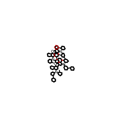 Cc1ccccc1N(c1cccc(-c2ccccc2)c1)c1cc2c3cc(N(c4cccc(-c5ccccc5)c4)c4cccc(-c5ccc(N(c6ccccc6-c6ccccc6)c6cc7c8cc(N(c9ccccc9C)c9ccccc9-c9ccccc9)c9ccccc9c8oc7c7ccccc67)c(C)c5)c4C)c4ccccc4c3oc2c2ccccc12